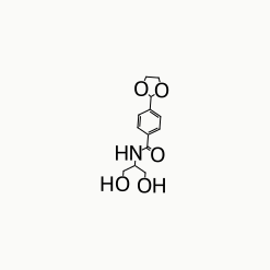 O=C(NC(CO)CO)c1ccc(C2OCCO2)cc1